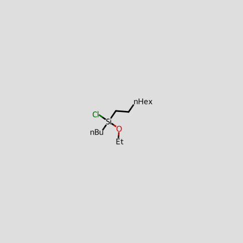 CCCCCCCC[Si](Cl)(CCCC)OCC